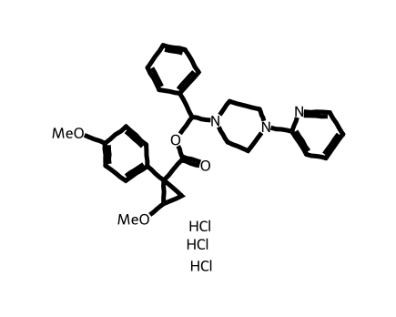 COc1ccc(C2(C(=O)OC(c3ccccc3)N3CCN(c4ccccn4)CC3)CC2OC)cc1.Cl.Cl.Cl